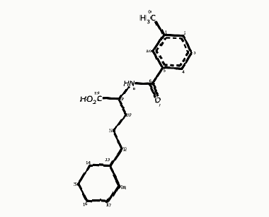 Cc1cccc(C(=O)NC(CCCC2CCCCC2)C(=O)O)c1